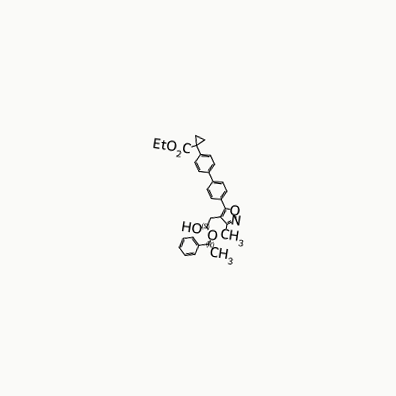 CCOC(=O)C1(c2ccc(-c3ccc(-c4onc(C)c4C[C@@H](O)O[C@H](C)c4ccccc4)cc3)cc2)CC1